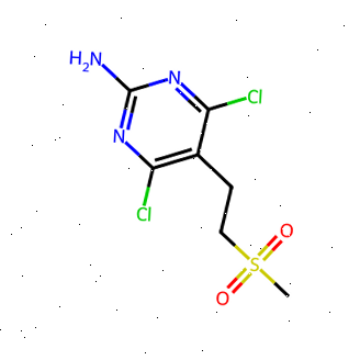 CS(=O)(=O)CCc1c(Cl)nc(N)nc1Cl